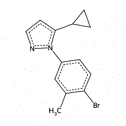 Cc1cc(-n2nccc2C2CC2)ccc1Br